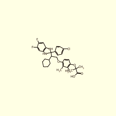 Cc1c(OCC(C2CCCCC2)C2(c3ccc(Cl)cc3)Nc3cc(F)c(F)cc3N2)ccc(OC(C)(C)C(=O)O)c1C